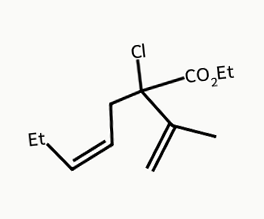 C=C(C)C(Cl)(C/C=C\CC)C(=O)OCC